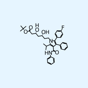 CC(C)c1c(C(=O)Nc2ccccc2)c(-c2ccccc2)c(-c2ccc(F)cc2)n1CC[C@@H](O)C[C@@H](O)CC(=O)OC(C)(C)C